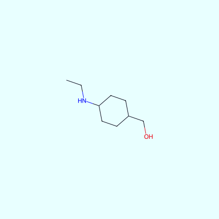 CCNC1CCC(CO)CC1